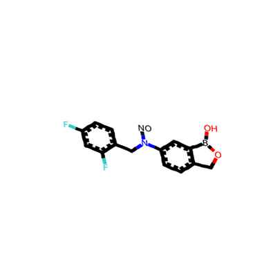 O=NN(Cc1ccc(F)cc1F)c1ccc2c(c1)B(O)OC2